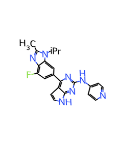 Cc1nc2c(F)cc(-c3nc(Nc4ccncc4)nc4[nH]ccc34)cc2n1C(C)C